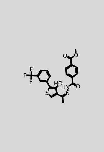 COC(=O)c1ccc(C(=O)N/N=C(/C)c2csc(-c3cccc(C(F)(F)F)c3)c2O)cc1